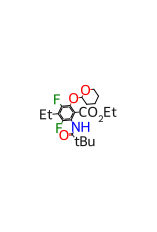 CCOC(=O)c1c(NC(=O)C(C)(C)C)c(F)c(CC)c(F)c1OC1CCCCO1